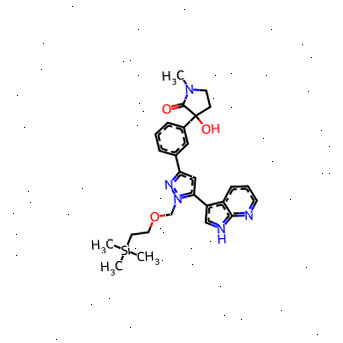 CN1CCC(O)(c2cccc(-c3cc(-c4c[nH]c5ncccc45)n(COCC[Si](C)(C)C)n3)c2)C1=O